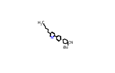 C=CCCCCc1ccc(-c2ccc([C@H]3CC[C@@](C#N)(C[C@@H](C)CC)CC3)cc2)nc1